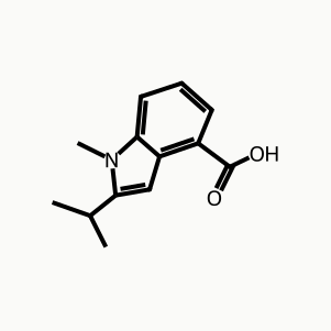 CC(C)c1cc2c(C(=O)O)cccc2n1C